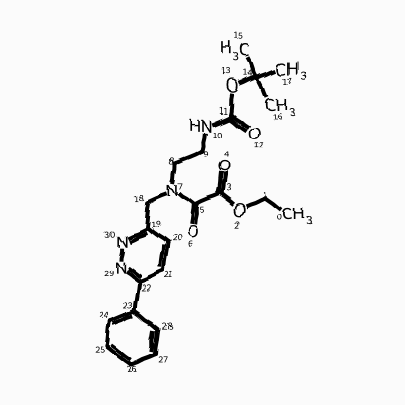 CCOC(=O)C(=O)N(CCNC(=O)OC(C)(C)C)Cc1ccc(-c2ccccc2)nn1